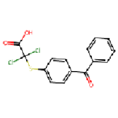 O=C(c1ccccc1)c1ccc(SC(Cl)(Cl)C(=O)O)cc1